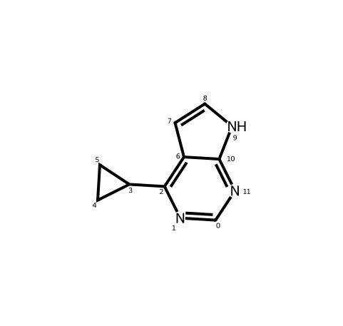 c1nc(C2CC2)c2cc[nH]c2n1